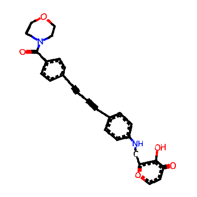 O=C(c1ccc(C#CC#Cc2ccc(NCc3occc(=O)c3O)cc2)cc1)N1CCOCC1